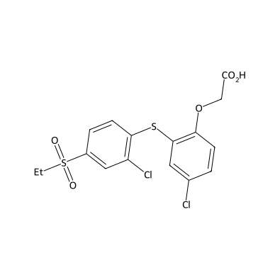 CCS(=O)(=O)c1ccc(Sc2cc(Cl)ccc2OCC(=O)O)c(Cl)c1